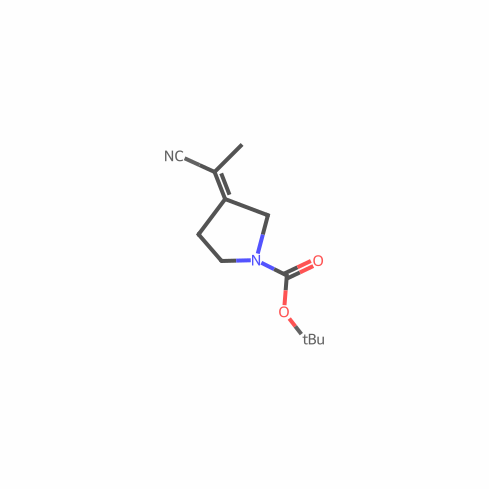 C/C(C#N)=C1/CCN(C(=O)OC(C)(C)C)C1